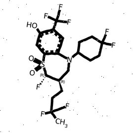 CC(F)(F)CC[C@@H]1CN(C2CCC(F)(F)CC2)c2cc(C(F)(F)F)c(O)cc2S(=O)(=O)[C@H]1F